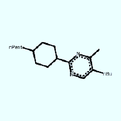 CCCCCC1CCC(c2ncc(CCCC)c(C)n2)CC1